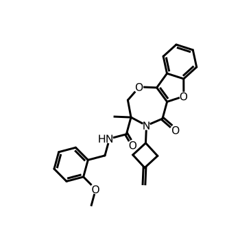 C=C1CC(N2C(=O)c3oc4ccccc4c3OCC2(C)C(=O)NCc2ccccc2OC)C1